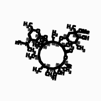 CCCN(C)[C@H]1C[C@@H](C)O[C@@H](O[C@@H]2[C@@H](C)[C@H](O[C@H]3C[C@@](C)(OC)[C@@H](O)[C@H](C)O3)[C@@H](C)C(=O)O[C@H](CC)[C@@](C)(O)[C@H](O)[C@@H](C)N(C)C[C@H](C)C[C@@]2(C)O)[C@@H]1O